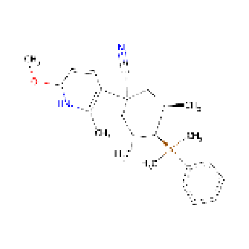 COC1C=CC([C@]2(C#N)C[C@@H](C)[C@H](S(C)(C)c3ccccc3)[C@H](C)C2)=C(C)N1